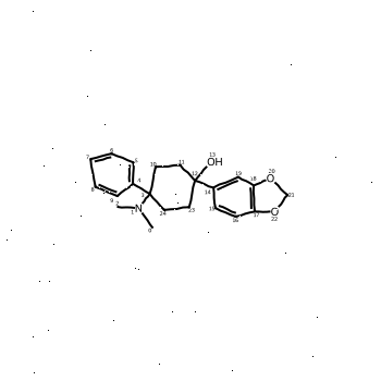 CN(C)C1(c2ccccc2)CCC(O)(c2ccc3c(c2)OCO3)CC1